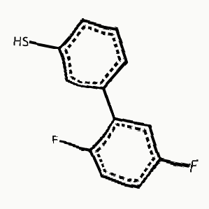 Fc1ccc(F)c(-c2cccc(S)c2)c1